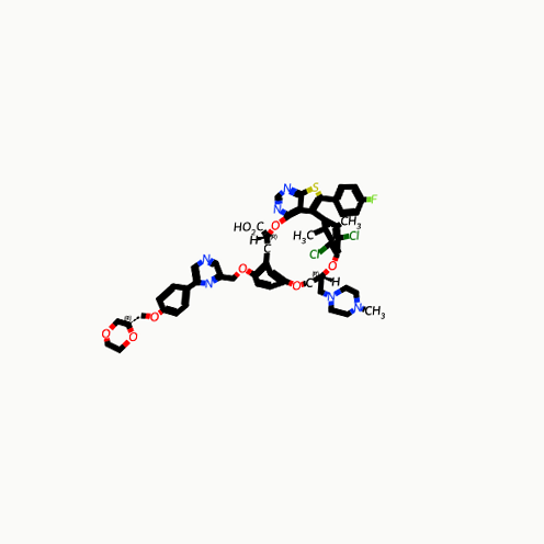 Cc1c(Cl)c2c(Cl)c(C)c1-c1c(-c3ccc(F)cc3)sc3ncnc(c13)O[C@@H](C(=O)O)Cc1cc(ccc1OCc1cncc(-c3ccc(OC[C@H]4COCCO4)cc3)n1)OC[C@@H](CN1CCN(C)CC1)O2